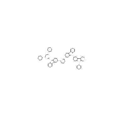 c1ccc(-c2cc(-c3ccccc3)nc(-n3c4ccccc4c4cc(-c5cccc(-c6ccc7c8ccccc8n(-c8ccc9c(c8)c8ccncc8n9-c8ccccc8)c7c6)n5)ccc43)n2)cc1